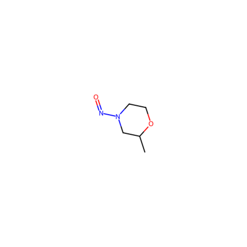 CC1CN(N=O)CCO1